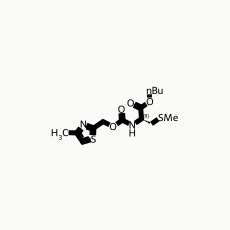 CCCCOC(=O)[C@H](CSC)NC(=O)OCc1nc(C)cs1